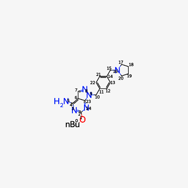 CCCCOc1nc(N)c2cnn(Cc3ccc(CN4CCCC4)cc3)c2n1